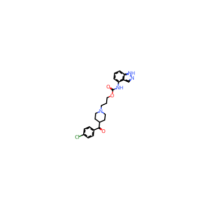 O=C(Nc1cccc2[nH]ncc12)OCCCN1CCC(C(=O)c2ccc(Cl)cc2)CC1